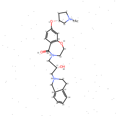 CC(=O)N1CC[C@@H](Oc2ccc3c(c2)OCCN(C[C@H](O)CN2CCc4ccccc4C2)C3=O)C1